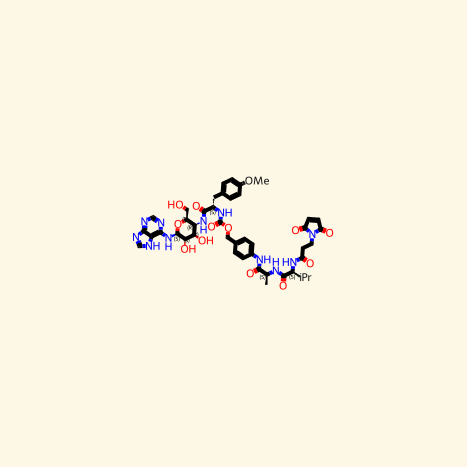 COc1ccc(C[C@H](NC(=O)OCc2ccc(NC(=O)[C@H](C)NC(=O)[C@@H](NC(=O)CCN3C(=O)C=CC3=O)C(C)C)cc2)C(=O)N[C@@H]2[C@@H](O)[C@H](O)[C@@H](Nc3ncnc4nc[nH]c34)O[C@H]2CO)cc1